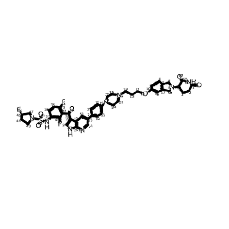 O=C1CCC(N2Cc3ccc(OCCCN4CCN(c5ccc(-c6cnc7[nH]cc(C(=O)c8c(F)ccc(NS(=O)(=O)N9CC[C@@H](F)C9)c8F)c7c6)cc5)CC4)cc3C2)C(=O)N1